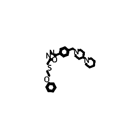 c1ccc(OCCSCc2nnc(-c3ccc(CN4CCC(N5CCCCC5)CC4)cc3)o2)cc1